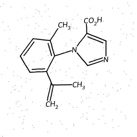 C=C(C)c1cccc(C)c1-n1cncc1C(=O)O